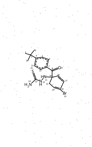 CC(C)(C)c1ccc(C(=O)C2(NNC(N)=S)C=CC(Br)=CC2)cc1